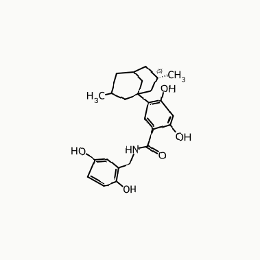 CC1CC2C[C@H](C)CC(c3cc(C(=O)NCc4cc(O)ccc4O)c(O)cc3O)(C1)C2